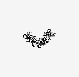 O=[As]([O-])([O-])[O-].O=[As]([O-])([O-])[O-].O=[As]([O-])([O-])[O-].O=[As]([O-])([O-])[O-].[C+4].[C+4].[C+4]